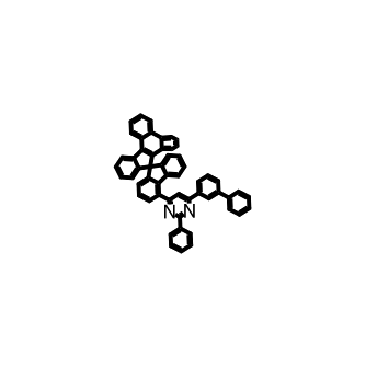 c1ccc(-c2cccc(-c3cc(-c4cccc5c4-c4ccccc4C54c5ccccc5-c5c4c4ccccc4c4ccccc54)nc(-c4ccccc4)n3)c2)cc1